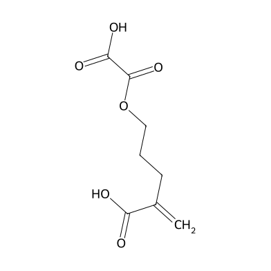 C=C(CCCOC(=O)C(=O)O)C(=O)O